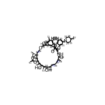 CO[C@H]1/C=C/O[C@@]2(C)Oc3c(C)c(O)c4c(=O)c(c5oc6cc(N7CCC(I)CC7)cc(O)c6nc-5c4c3C2=O)NC(=O)/C(C)=C\C=C\[C@H](C)[C@H](O)[C@@H](C)[C@@H](O)[C@@H](C)[C@H](OC(C)=O)[C@@H]1C